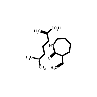 C=C(CCCN(C)C)C(=O)O.C=CC1CCCCNC1=O